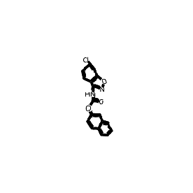 O=C(Nc1noc2cc(Cl)ccc12)Oc1ccc2ccccc2c1